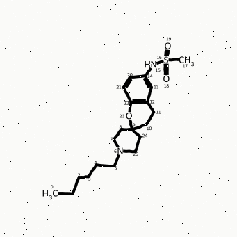 CCCCCCN1CCC2(CCc3cc(NS(C)(=O)=O)ccc3O2)CC1